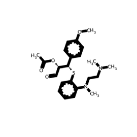 COc1ccc([C@H](Sc2ccccc2N(C)CCN(C)C)[C@H](C=O)OC(C)=O)cc1